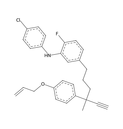 C#CC(C)(CCCc1ccc(F)c(Nc2ccc(Cl)cc2)c1)c1ccc(OCC=C)cc1